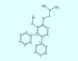 CCOc1c(OCC(C)O)ccc(-c2ccccc2)c1-c1ccccc1